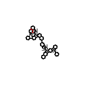 c1ccc(-n2c3ccccc3c3cc4c(cc32)c2cc3ccccc3cc2n4-c2nc3cc(-c4ccc5ccc6c(c5c4)c4ccc5c7ccccc7n(-c7ccccc7)c5c4n6-c4nc5ccccc5s4)ccc3s2)cc1